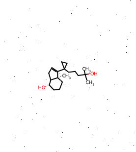 CC(C)(O)CCCC1(C2=CCC3[C@@H](O)CCC[C@]23C)CC1